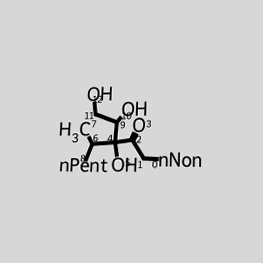 CCCCCCCCCCC(=O)C(O)(C(C)CCCCC)C(O)CO